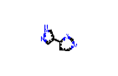 c1cc(-c2cn[nH]c2)ncn1